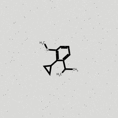 COc1cccc([C](C)C)c1C1CC1